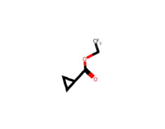 O=C(OCC(F)(F)F)C1CC1